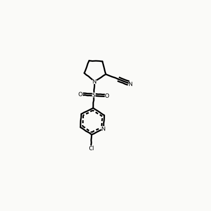 N#CC1CCCN1S(=O)(=O)c1ccc(Cl)nc1